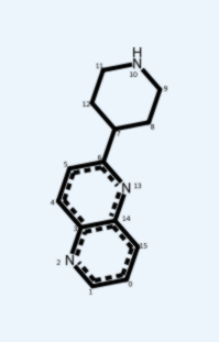 c1cnc2ccc(C3CCNCC3)nc2c1